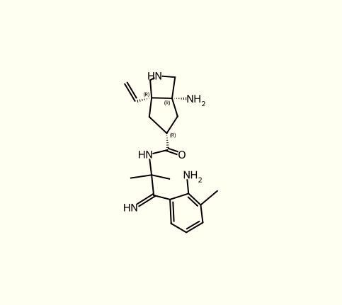 C=C[C@]12CNC[C@@]1(N)C[C@H](C(=O)NC(C)(C)C(=N)c1cccc(C)c1N)C2